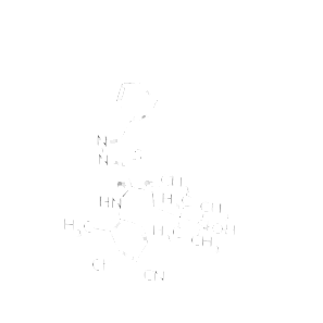 Cc1c(N[C@@H](c2nnc(-c3ccccc3)s2)[C@H](C)CC(C)(C)[Si](C)(C)O)ccc(C#N)c1Cl